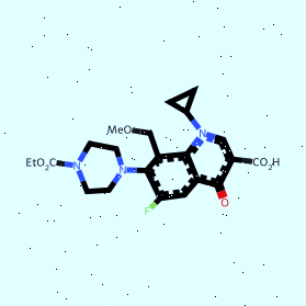 CCOC(=O)N1CCN(c2c(F)cc3c(=O)c(C(=O)O)cn(C4CC4)c3c2COC)CC1